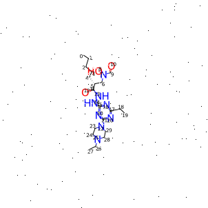 CCCCC[C@H](CN(O)C=O)C(=O)NNc1nc(CC)nc(N2CCN(CC)CC2)n1